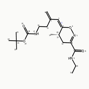 C=C(/C=C1/ON=C(C(=O)NCC)C[C@@H]1C)CCNC(=O)OC(C)(C)C